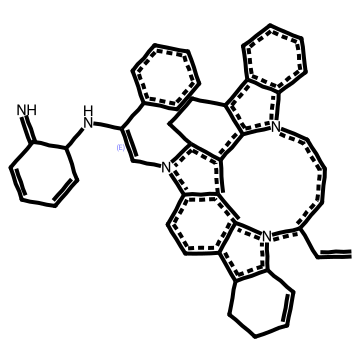 C=Cc1cccn2c3ccccc3c3c2c2c(n(/C=C(/NC4C=CC=CC4=N)c4ccccc4)c4ccc5c6c(n1c5c24)C=CCC6)CC3